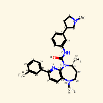 CC(=O)N1CCC(c2cccc(NC(=O)N3c4nc(-c5cccc(C(F)(F)F)c5)ccc4N(C)CC[C@H]3C)c2)C1